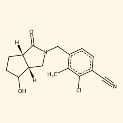 Cc1c(CN2C[C@@H]3C(O)CC[C@@H]3C2=O)ccc(C#N)c1Cl